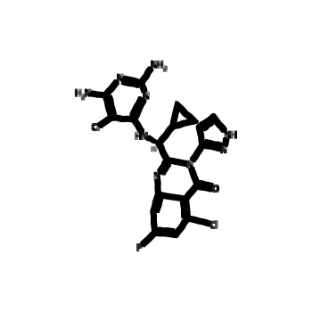 Nc1nc(N)c(Cl)c(N[C@H](c2nc3cc(F)cc(Cl)c3c(=O)n2-c2cc[nH]n2)C2CC2)n1